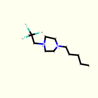 CCCCCN1CCN(CC(F)(F)F)CC1